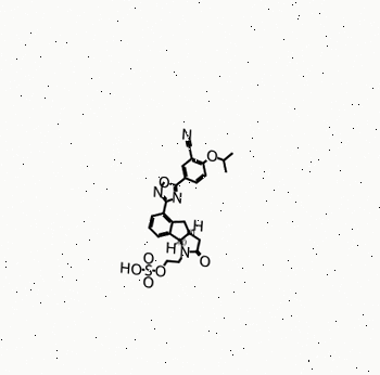 CC(C)Oc1ccc(-c2nc(-c3cccc4c3C[C@H]3CC(=O)N(CCOS(=O)(=O)O)[C@@H]43)no2)cc1C#N